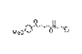 COc1ccc(C(=O)CCCCC(=O)NCCN2CCCC2)cc1